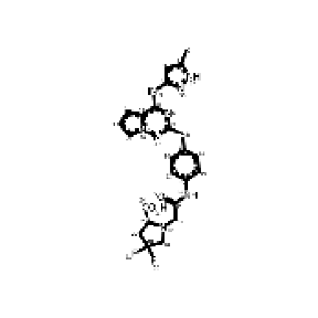 Cc1cc(Nc2nc(Sc3ccc(NC(=O)CN4CC(F)(F)C[C@H]4C(=O)O)cc3)nn3cccc23)n[nH]1